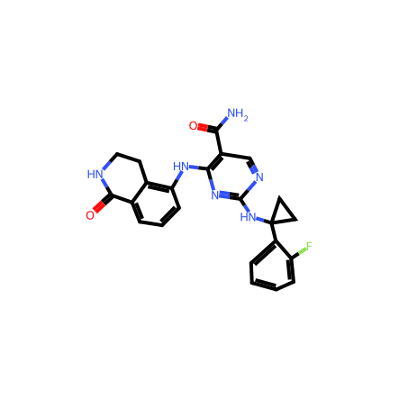 NC(=O)c1cnc(NC2(c3ccccc3F)CC2)nc1Nc1cccc2c1CCNC2=O